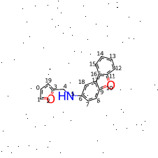 c1coc(CNc2ccc3oc4ccccc4c3c2)c1